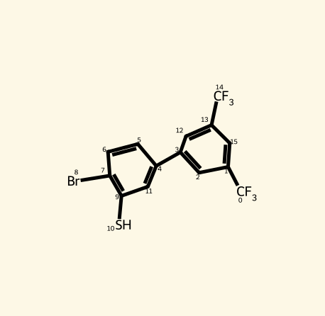 FC(F)(F)c1cc(-c2ccc(Br)c(S)c2)cc(C(F)(F)F)c1